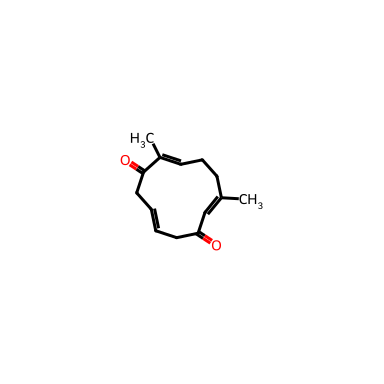 C/C1=C\C(=O)C/C=C/CC(=O)/C(C)=C/CC1